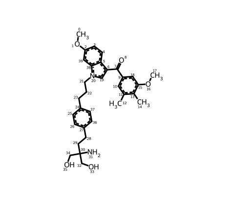 COc1ccc2c(C(=O)c3cc(C)c(C)c(OC)c3)cn(CCCc3ccc(CCC(N)(CO)CO)cc3)c2c1